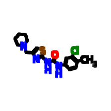 Cc1ccc(NC(=O)Nc2nc(CN3CCCCC3)cs2)cc1Cl